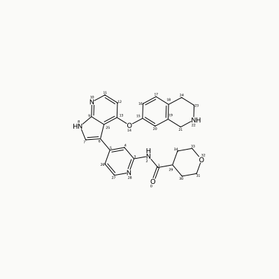 O=C(Nc1cc(-c2c[nH]c3nccc(Oc4ccc5c(c4)CNCC5)c23)ccn1)C1CCOCC1